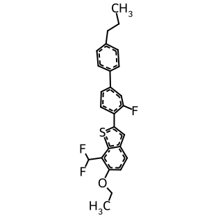 CCCc1ccc(-c2ccc(-c3cc4ccc(OCC)c(C(F)F)c4s3)c(F)c2)cc1